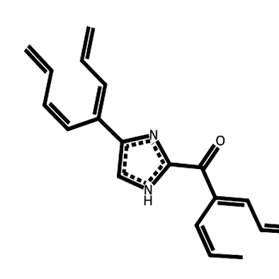 C=C/C=C\C(=C/C=C)c1c[nH]c(C(=O)C(/C=C\C)=C/C=C)n1